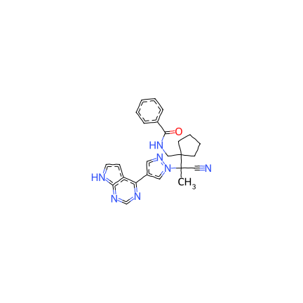 CC(C#N)(n1cc(-c2ncnc3[nH]ccc23)cn1)C1(CNC(=O)c2ccccc2)CCCC1